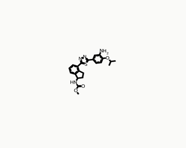 COC(=O)NC1CCc2c(-c3nnc(-c4ccc(OC(C)C)c(N)c4)s3)cccc21